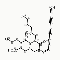 C#CC#CC#CC#C/C=C\C(CCCCC(=O)O)C(=O)N(CC(CC)CCCCl)CC(CC)CCCCl